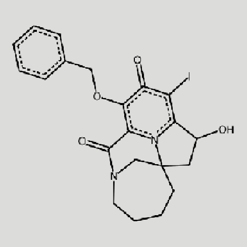 O=C1c2c(OCc3ccccc3)c(=O)c(I)c3n2C2(CCCCN1C2)CC3O